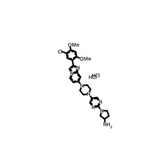 COc1cc(OC)c(-c2cn3ccc(N4CCN(c5cnc(N6CCC(N)C6)nc5)CC4)cc3n2)cc1Cl.Cl.Cl